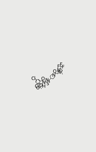 CC(=O)Oc1c(Cl)cc(Cl)cc1C(=O)Nc1nc(C2CCN(C(=O)Cn3nc(C(F)(F)F)cc3C)CC2)cs1